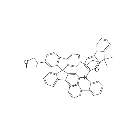 CC1(C)c2ccccc2-c2ccc(N(c3ccc4c(c3)C3(c5ccccc5-4)c4cc(C5CCOC5)ccc4-c4ccc(C5CCOC5)cc43)c3ccccc3-c3ccccc3)cc21